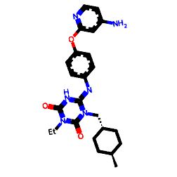 CCn1c(=O)[nH]/c(=N\c2ccc(Oc3cc(N)ccn3)cc2)n(C[C@H]2CC[C@H](C)CC2)c1=O